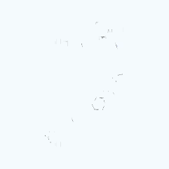 CCCCCCCC(=O)CC[C@@H]1[C@@H](C/C=C\CCCC(=O)NC(C)C(=O)Oc2ccc(CCOC(=O)CCCON(O)O)cc2)[C@@H](O)C[C@H]1O